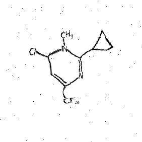 CN1C(C2CC2)=NC(C(F)(F)F)=CC1Cl